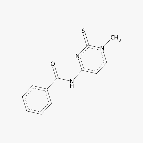 Cn1ccc(NC(=O)c2ccccc2)nc1=S